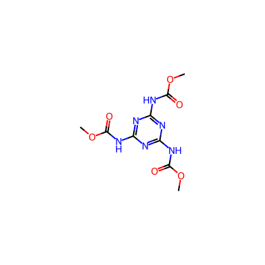 COC(=O)Nc1nc(NC(=O)OC)nc(NC(=O)OC)n1